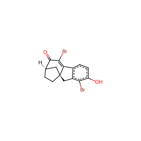 O=C1C(Br)=C2c3ccc(O)c(Br)c3C[C@]23CC[C@@H]1C3